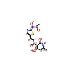 CON(C(C)=O)c1ncc(/C=C/C(=O)c2c(O)cc(C)n(C)c2=O)s1